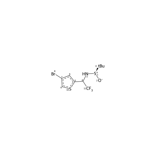 CC(C)(C)[S@@+]([O-])NC(c1cc(Br)cs1)C(F)(F)F